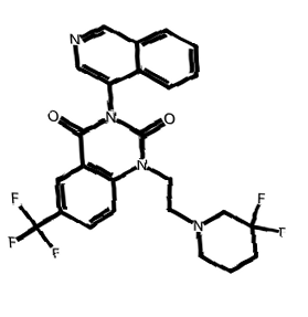 O=c1c2cc(C(F)(F)F)ccc2n(CCN2CCCC(F)(F)C2)c(=O)n1-c1cncc2ccccc12